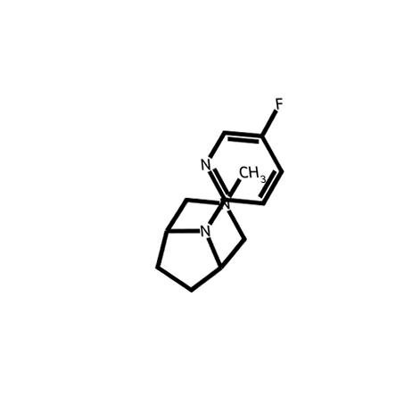 CN1CC2CCC(C1)N2c1ccc(F)cn1